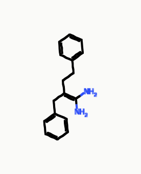 NC(N)=C(CCc1ccccc1)Cc1ccccc1